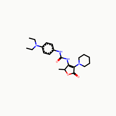 CCN(CC)c1ccc(NC(=O)NC2=C(N3CCCCC3)C(=O)OC2C)cc1